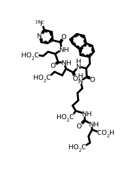 O=C(O)CCC(NC(=O)NC(CCCCNC(=O)C(Cc1ccc2ccccc2c1)NC(=O)C(CCC(=O)O)NC(=O)C(CCC(=O)O)NC(=O)c1ccnc([18F])c1)C(=O)O)C(=O)O